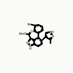 COC(=O)c1n[nH]c2ccc(-c3c[nH]nc3C)c(-c3cccc(Br)c3)c12